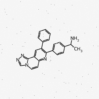 CC(N)c1ccc(-c2nc3ccn4cnnc4c3cc2-c2ccccc2)cc1